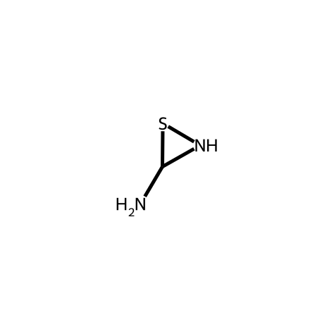 NC1NS1